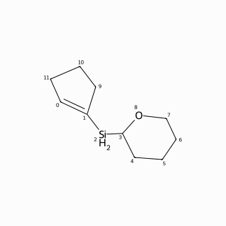 C1=C([SiH2]C2CCCCO2)CCC1